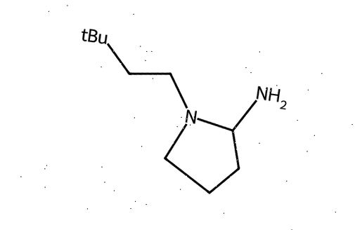 CC(C)(C)CCN1CCCC1N